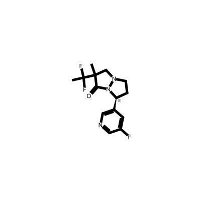 CC(F)(F)C1(C)CN2CC[C@@H](c3cncc(F)c3)N2C1=O